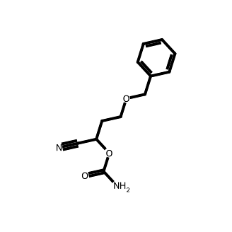 N#CC(CCOCc1ccccc1)OC(N)=O